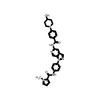 Cn1cccc1C(=O)Nc1ccc(-n2ncc3cc(NC(=O)c4ccc(N5CCC(O)CC5)cc4)ncc32)cc1